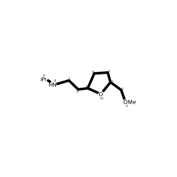 COCC1CCC(CCNC(C)C)O1